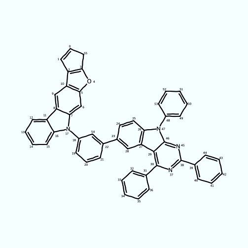 C1=Cc2c(oc3cc4c(cc23)c2ccccc2n4-c2cccc(-c3ccc4c(c3)c3c(-c5ccccc5)nc(-c5ccccc5)nc3n4-c3ccccc3)c2)C1